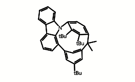 CC(C)(C)c1cc2cc(c1)C(C)(C)c1ccc(c(C(C)(C)C)c1C(C)(C)C)-n1c3ccccc3c3cccc-2c31